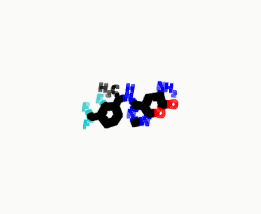 C[C@@H](Nc1ncnc2oc(=O)c(N)cc12)c1cccc(C(F)F)c1F